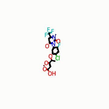 COC(=CC(=O)O)C(C)Oc1cc(-n2c(=O)cc(C(F)(F)F)n(C)c2=O)c(F)cc1Cl